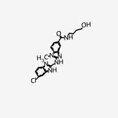 Cn1c(Nc2nc3ccc(Cl)cc3[nH]2)nc2cc(C(=O)NCCCCO)ccc21